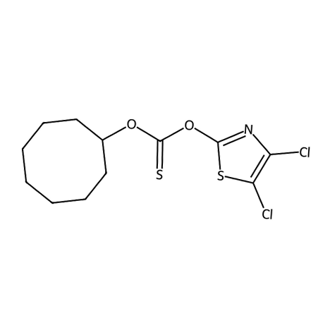 S=C(Oc1nc(Cl)c(Cl)s1)OC1CCCCCCC1